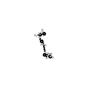 Nc1nnc(-c2ccccc2O)cc1OCCc1ccc(CNC(=O)CCCCCOc2cccc3c2C(=O)N(C2CCC(=O)NC2=O)C3=O)cc1